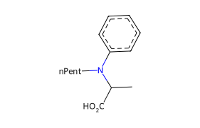 CCCCCN(c1ccccc1)C(C)C(=O)O